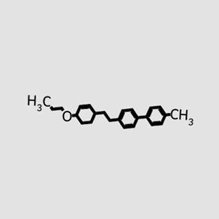 CCCOC1C=CC(CCc2ccc(-c3ccc(C)cc3)cc2)CC1